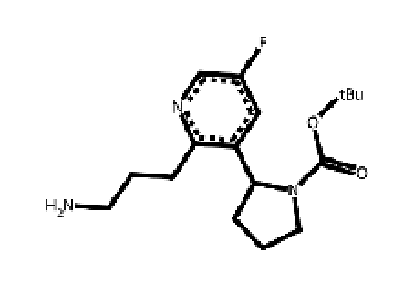 CC(C)(C)OC(=O)N1CCCC1c1cc(F)cnc1CCCN